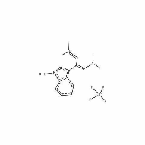 CN(C)C=C(C=[N+](C)C)c1cn(C=O)c2ccccc12.F[B-](F)(F)F